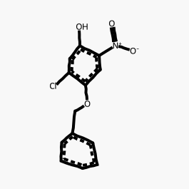 O=[N+]([O-])c1cc(OCc2ccccc2)c(Cl)cc1O